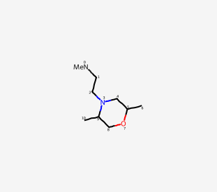 CNCCN1CC(C)OCC1C